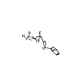 CC(F)(F)CC(F)(F)CCOC(=O)C1CC2C=CC1C2